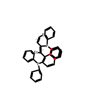 CC/C=C\C(=C(/CC)c1c(P(c2ccccc2)c2ccccc2)ccc2ccccc12)P(c1ccccc1)c1ccccc1